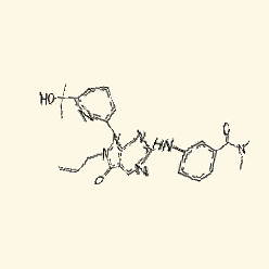 C=CCn1c(=O)c2cnc(Nc3cccc(C(=O)N(C)C)c3)nc2n1-c1cccc(C(C)(C)O)n1